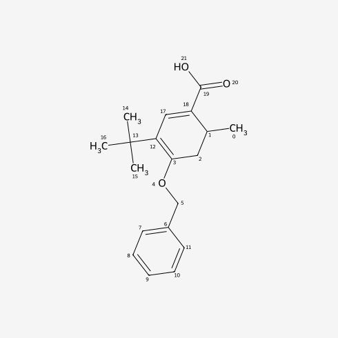 CC1CC(OCc2ccccc2)=C(C(C)(C)C)C=C1C(=O)O